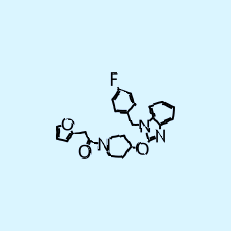 O=C(Cc1ccco1)N1CCC(Oc2nc3ccccc3n2Cc2ccc(F)cc2)CC1